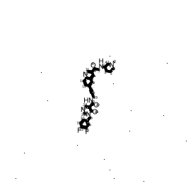 CN1CCCC(NCC(=O)c2cnc3ccc(C#CCNC(=O)c4cncn(Cc5ccc(F)c(F)c5)c4=O)cc3c2)C1